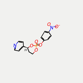 O=[N+]([O-])c1ccc(O[P@@]2(=O)OCC[C@@H](c3ccncc3)O2)cc1